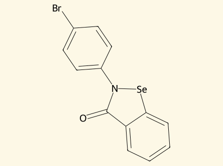 O=c1c2ccccc2[se]n1-c1ccc(Br)cc1